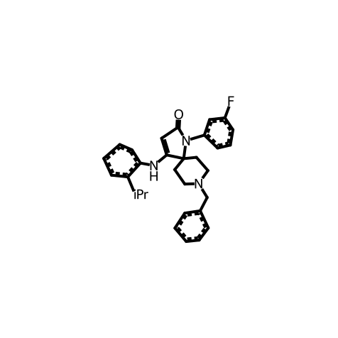 CC(C)c1ccccc1NC1=CC(=O)N(c2cccc(F)c2)C12CCN(Cc1ccccc1)CC2